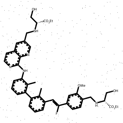 CCOC(=O)[C@@H](CO)NCc1cnc2c(Nc3cccc(-c4cccc(/C=C(\F)c5ccc(CN[C@H](CO)C(=O)OCC)c(OC)c5)c4C)c3C)nccc2c1